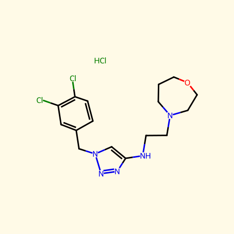 Cl.Clc1ccc(Cn2cc(NCCN3CCCOCC3)nn2)cc1Cl